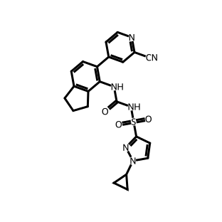 N#Cc1cc(-c2ccc3c(c2NC(=O)NS(=O)(=O)c2ccn(C4CC4)n2)CCC3)ccn1